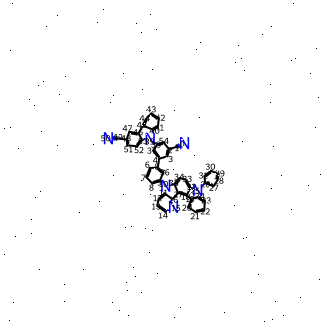 N#Cc1cc(-c2cccc(-n3c4cccnc4c4c5c6ccccc6n(-c6ccccc6)c5ccc43)c2)cc(-n2c3ccccc3c3cc(C#N)ccc32)c1